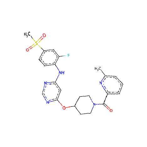 Cc1cccc(C(=O)N2CCC(Oc3cc(Nc4ccc(S(C)(=O)=O)cc4F)ncn3)CC2)n1